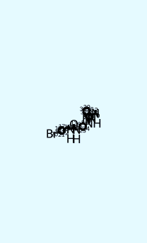 CN(C)c1nc(N[C@H]2CC[C@@H](NC(=O)NCc3ccc(Br)cc3)CC2)nc2c1CCCC2